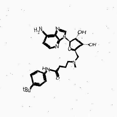 CN(CCCC(=O)Nc1ccc(C(C)(C)C)cc1)C[C@H]1O[C@@H](n2cnc3c(N)ccnc32)[C@H](O)[C@@H]1O